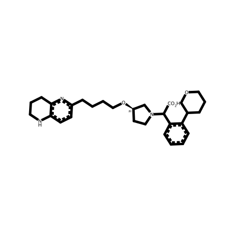 O=C(O)C(c1ccccc1C1CCCOC1)N1CC[C@@H](OCCCCc2ccc3c(n2)CCCN3)C1